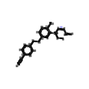 C=N/C=C\N(CC)c1cc(CCc2ccc(C#N)cc2)ccc1F